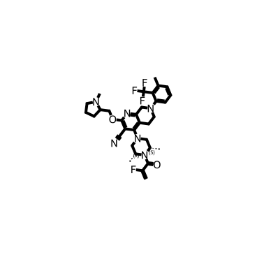 C=C(F)C(=O)N1[C@H](C)CN(c2c(C#N)c(OCC3CCCN3C)nc3c2CCN(c2cccc(C)c2C(F)(F)F)C3)C[C@@H]1C